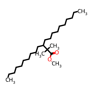 CCCCCCCCCCC(CCCCCCCCCC)C(C)(C)C(=O)OC